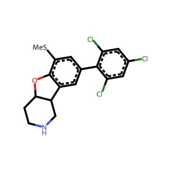 CSc1cc(-c2c(Cl)cc(Cl)cc2Cl)cc2c1OC1CCNCC21